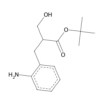 CC(C)(C)OC(=O)C(CO)Cc1ccccc1N